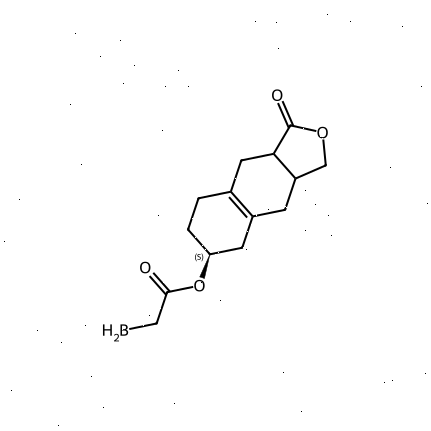 BCC(=O)O[C@H]1CCC2=C(CC3COC(=O)C3C2)C1